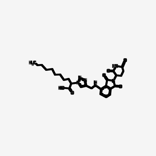 CCCCCCCCCC(C(=O)O)n1cc(CNc2cccc3c2C(=O)N(C2CCC(=O)NC2=O)C3=O)nn1